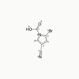 N#Cc1cc(Br)n(C(=O)O)c1